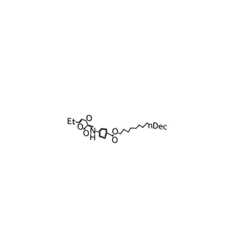 CCCCCCCCCCCCCCCCCCOC(=O)c1ccc(NC=C2C(=O)C=C(CC)OC2=O)cc1